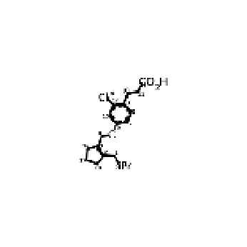 CC(C)CC1=C(COc2ccc(CCC(=O)O)c(Cl)c2)CCC1